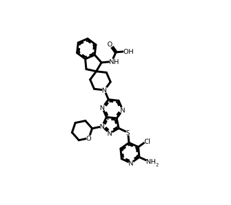 Nc1nccc(Sc2nn(C3CCCCO3)c3nc(N4CCC5(CC4)Cc4ccccc4C5NC(=O)O)cnc23)c1Cl